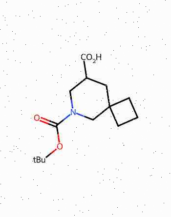 CC(C)(C)OC(=O)N1CC(C(=O)O)CC2(CCC2)C1